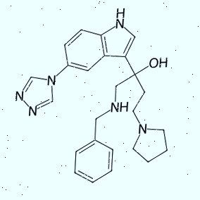 OC(CCN1CCCC1)(CNCc1ccccc1)c1c[nH]c2ccc(-n3cnnc3)cc12